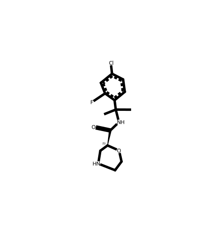 CC(C)(NC(=O)[C@@H]1CNCCO1)c1ccc(Cl)cc1F